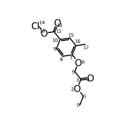 CCOC(=O)COc1ccc(C(=O)OCl)cc1C